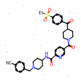 CCS(=O)(=O)c1ccc(C(=O)C2CCN(C(=O)c3ccc(C(=O)NC4CCN(Cc5ccc(C#N)cc5)CC4)nc3)CC2)cc1